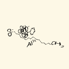 CCCCCCCCCCCCCCCCCC(=O)[O-].O=C([O-])c1ccccc1.O=P([O-])(O)O.[Al+3]